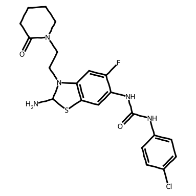 NC1Sc2cc(NC(=O)Nc3ccc(Cl)cc3)c(F)cc2N1CCN1CCCCC1=O